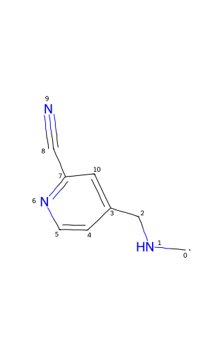 [CH2]NCc1ccnc(C#N)c1